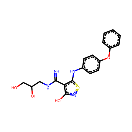 N=C(NCC(O)CO)c1c(O)nsc1Nc1ccc(Oc2ccccc2)cc1